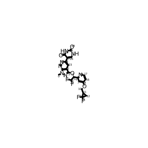 Cn1nc(O[C@H](c2cc(OCC3CC3(F)F)ccn2)C(F)F)c2cc(-c3c[nH]c(=O)[nH]c3=O)nnc21